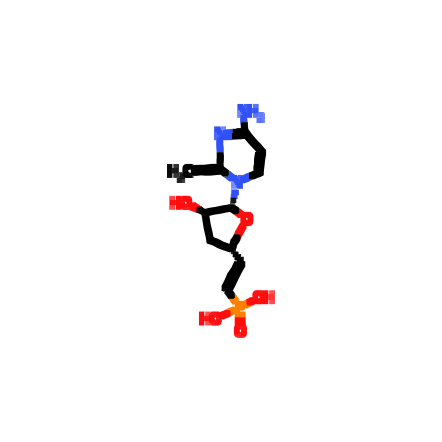 C=C1N=C(N)C=CN1[C@@H]1O[C@H](/C=C/P(=O)(O)O)C[C@H]1O